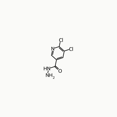 NNC(=O)c1cnc(Cl)c(Cl)c1